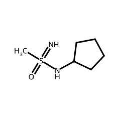 CS(=N)(=O)NC1CCCC1